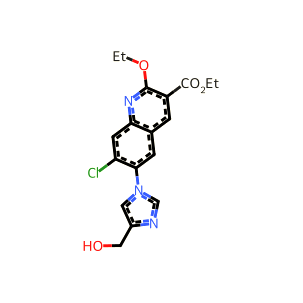 CCOC(=O)c1cc2cc(-n3cnc(CO)c3)c(Cl)cc2nc1OCC